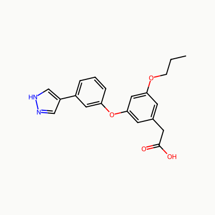 CCCOc1cc(CC(=O)O)cc(Oc2cccc(-c3cn[nH]c3)c2)c1